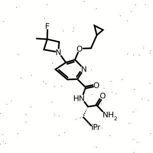 CC(C)C[C@H](NC(=O)c1ccc(N2CC(C)(F)C2)c(OCC2CC2)n1)C(N)=O